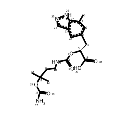 Cc1cc(C[C@@H](OC(=O)NCCC(C)(C)OC(N)=O)C(=O)O)cc2cn[nH]c12